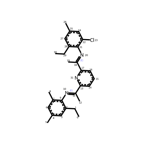 CCc1cc(C)cc(C)c1/N=C(\C)c1cccc(/C(C)=N/c2c(Cl)cc(C)cc2CC)n1